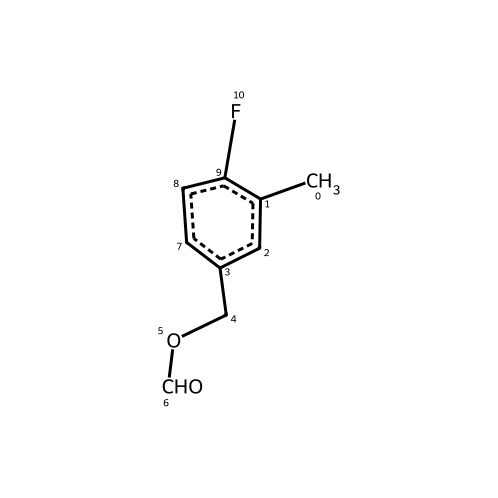 Cc1cc(COC=O)ccc1F